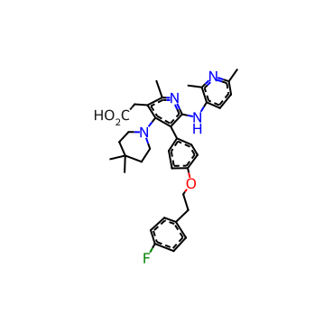 Cc1ccc(Nc2nc(C)c(CC(=O)O)c(N3CCC(C)(C)CC3)c2-c2ccc(OCCc3ccc(F)cc3)cc2)c(C)n1